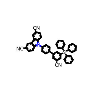 N#Cc1cc(-c2ccc(-n3c4ccc(C#N)cc4c4cc(C#N)ccc43)cc2)cc([Si](c2ccccc2)(c2ccccc2)c2ccccc2)c1